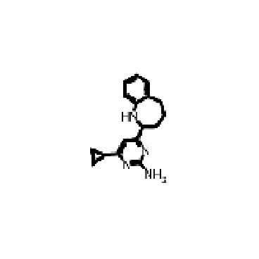 Nc1nc(C2CC2)cc(C2CCCc3ccccc3N2)n1